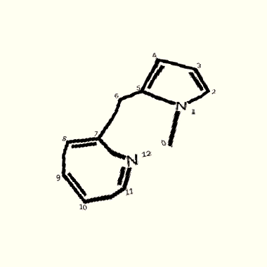 Cn1cccc1Cc1ccccn1